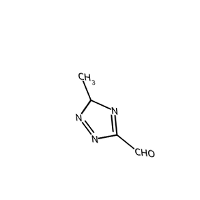 CC1N=NC(C=O)=N1